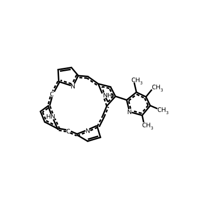 Cc1nc(-c2cc3cc4nc(cc5ccc(cc6nc(cc2[nH]3)C=C6)[nH]5)C=C4)c(C)c(C)c1C